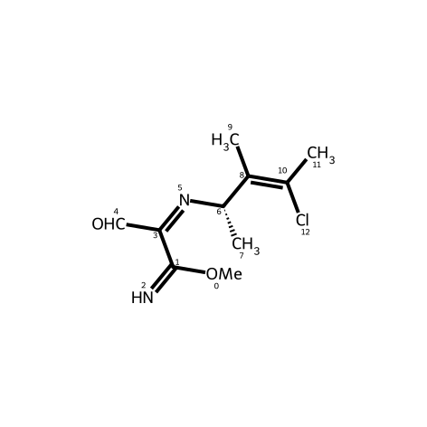 COC(=N)/C(C=O)=N\[C@@H](C)/C(C)=C(/C)Cl